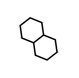 [CH]1CCC2[CH]CC[CH]C2C1